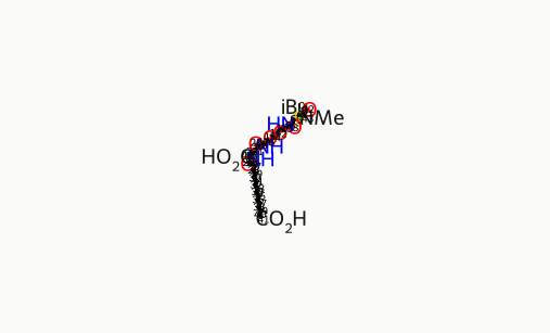 CCC(C)C(=O)C(CSCC(=O)NCCOCCOCCNC(=O)CCC(NC(=O)CCCCCCCCCCCCCCC(=O)O)C(=O)O)NC